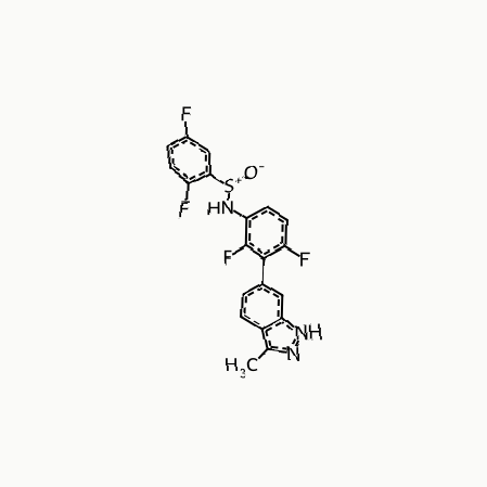 Cc1n[nH]c2cc(-c3c(F)ccc(N[S+]([O-])c4cc(F)ccc4F)c3F)ccc12